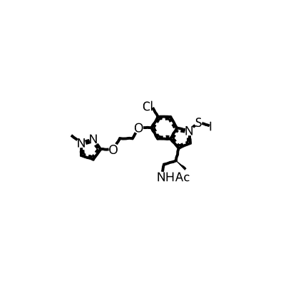 CC(=O)NC[C@H](C)c1cn(SI)c2cc(Cl)c(OCCOc3ccn(C)n3)cc12